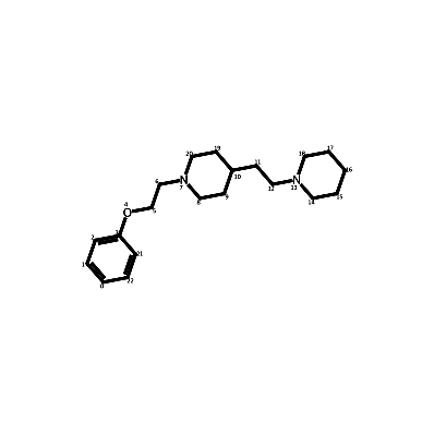 c1ccc(OCCN2CCC(CCN3CCCCC3)CC2)cc1